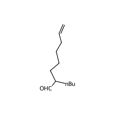 C=CCCCCC(C=O)CCCC